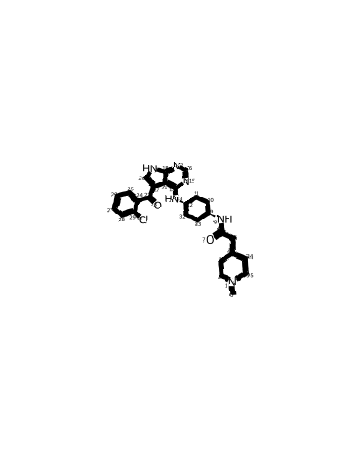 CN1CCC(CC(=O)N[C@H]2CC[C@@H](Nc3ncnc4[nH]cc(C(=O)c5ccccc5Cl)c34)CC2)CC1